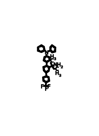 CCC(N)(CC)c1cc(-c2ccc(C(F)(F)F)cc2)ccc1-c1ccc(N(c2ccccc2)c2ccccc2)cc1